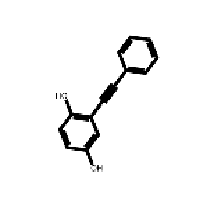 Oc1ccc(O)c(C#Cc2ccccc2)c1